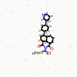 CCCCCC(CC)N1C(=O)c2cccc3c(-c4ccc(-c5cccnc5)cc4)ccc(c23)C1=O